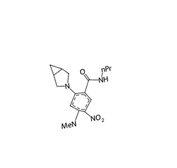 CCCNC(=O)c1cc([N+](=O)[O-])c(NC)cc1N1CC2CC2C1